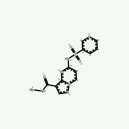 CC(C)(C)NC(=O)c1cnn2ccc(NS(=O)(=O)c3cccnc3)nc12